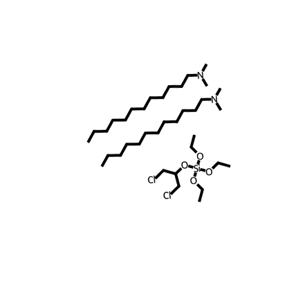 CCCCCCCCCCCCN(C)C.CCCCCCCCCCCCN(C)C.CCO[Si](OCC)(OCC)OC(CCl)CCl